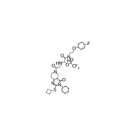 O=C(NCCOc1ccc(F)cc1)C(NCC(=O)N1CCc2nc(SC3CCC3)n(-c3ccccc3)c(=O)c2C1)OC(=O)C(F)(F)F